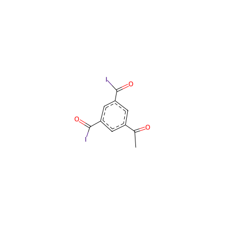 CC(=O)c1cc(C(=O)I)cc(C(=O)I)c1